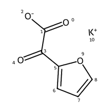 O=C([O-])C(=O)c1ccco1.[K+]